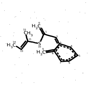 C=C(/C=c1/ccccc1=C)S/C(C)=C/C